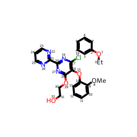 CCOc1ccccc1.COc1ccccc1Oc1c(Cl)nc(-c2ncccn2)nc1OCCO